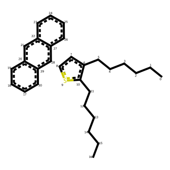 CCCCCCc1ccsc1CCCCCC.c1ccc2cc3ccccc3cc2c1